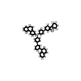 c1cc(-c2ccc(N(c3ccc(-c4ccc5c(c4)oc4ccccc45)cc3)c3ccc4c(ccc5ccccc54)c3)cc2)cc(-c2cccc3ccccc23)c1